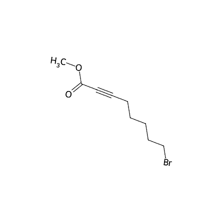 COC(=O)C#CCCCCCBr